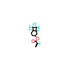 C=C(F)C(=O)OC1CCC2(F)C(F)(F)C(F)(F)C2(F)C1